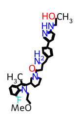 COCCCn1c(C2CCCN(C(=O)C[C@H](N)Cc3ccc(-c4ccc(NC[C@@H](C)O)nc4)cc3)C2)c(C)c2cccc(F)c21